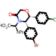 CCC[C@@H](C(=O)O)N1C(=O)CO[C@H](c2ccc(Cl)cc2)[C@@H]1c1ccc(Br)cc1